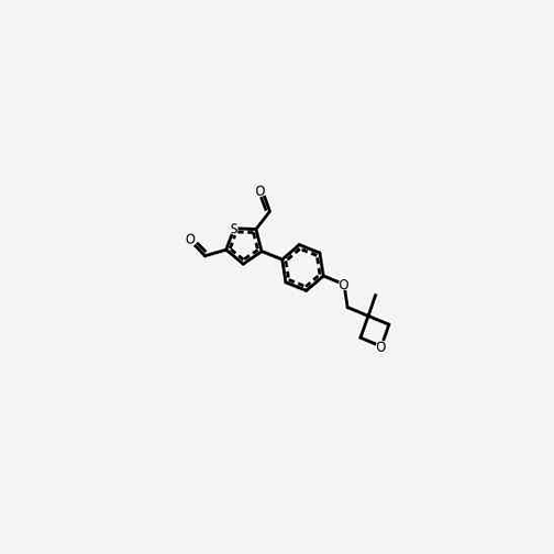 CC1(COc2ccc(-c3cc(C=O)sc3C=O)cc2)COC1